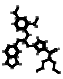 CCCN(CCC)C(=O)c1csc(CN(Cc2ccc3c(c2)OCO3)Cc2ccc(OC)cc2OC)n1